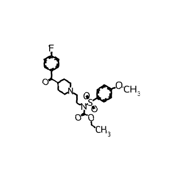 CCOC(=O)N(CCN1CCC(C(=O)c2ccc(F)cc2)CC1)S(=O)(=O)c1ccc(OC)cc1